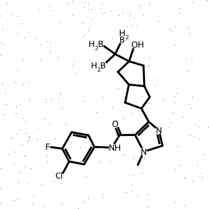 BC(B)(B)C1(O)CC2CC(c3ncn(C)c3C(=O)Nc3ccc(F)c(Cl)c3)CC2C1